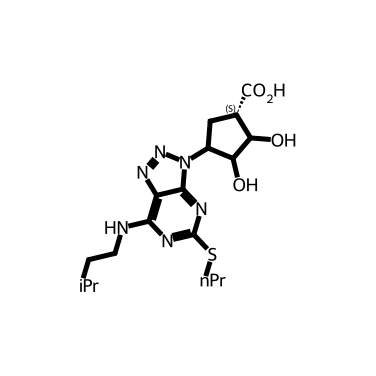 CCCSc1nc(NCCC(C)C)c2nnn(C3C[C@H](C(=O)O)C(O)C3O)c2n1